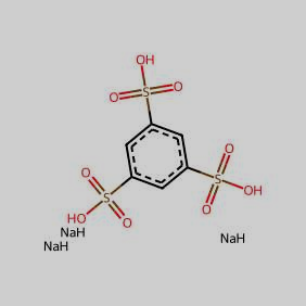 O=S(=O)(O)c1cc(S(=O)(=O)O)cc(S(=O)(=O)O)c1.[NaH].[NaH].[NaH]